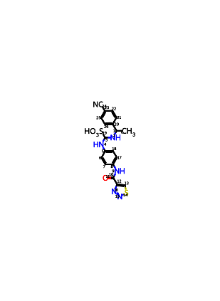 CC(NC(Nc1ccc(NC(=O)c2csnn2)cc1)S(=O)(=O)O)c1ccc(C#N)cc1